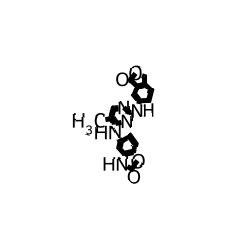 Cc1cnc(Nc2ccc3c(c2)C(=O)OC3)nc1Nc1ccc2oc(=O)[nH]c2c1